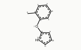 Cc1ccccc1Oc1ccc[nH]1